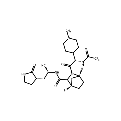 CN1CCC([C@H](NC(=O)C(F)(F)F)C(=O)N2[C@@H]3CC[C@@H](C3)[C@H]2C(=O)N[C@H](C#N)C[C@@H]2CCNC2=O)CC1